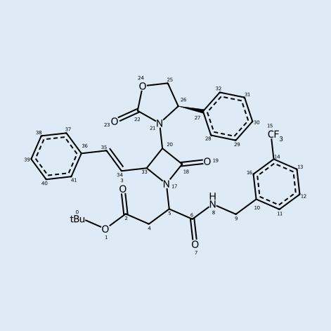 CC(C)(C)OC(=O)CC(C(=O)NCc1cccc(C(F)(F)F)c1)N1C(=O)C(N2C(=O)OC[C@H]2c2ccccc2)C1C=Cc1ccccc1